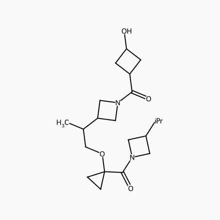 CC(C)C1CN(C(=O)C2(OCC(C)C3CN(C(=O)C4CC(O)C4)C3)CC2)C1